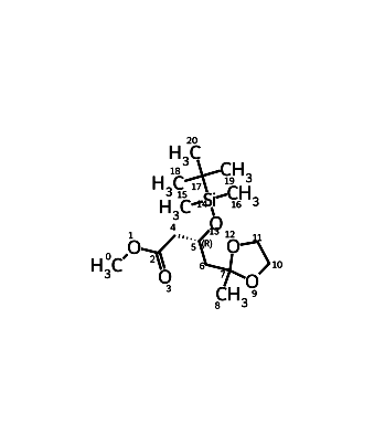 COC(=O)C[C@@H](CC1(C)OCCO1)O[Si](C)(C)C(C)(C)C